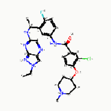 CCn1cc2ncc(N[C@@H](C)c3cc(NC(=O)c4ccc(OC5CCN(C)CC5)c(Cl)c4)ccc3F)nc2n1